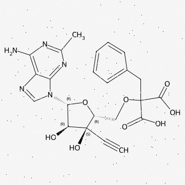 C#C[C@@]1(O)[C@@H](COC(Cc2ccccc2)(C(=O)O)C(=O)O)O[C@@H](n2cnc3c(N)nc(C)nc32)[C@@H]1O